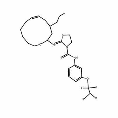 CCCC1C/C=C\CCCCCCC(N=C2SCCN2C(=S)Nc2cccc(OC(F)(F)C(F)F)c2)C1